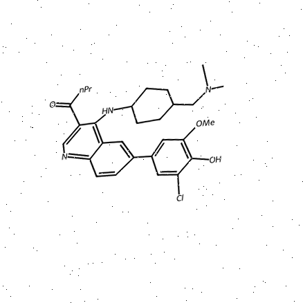 CCCC(=O)c1cnc2ccc(-c3cc(Cl)c(O)c(OC)c3)cc2c1NC1CCC(CN(C)C)CC1